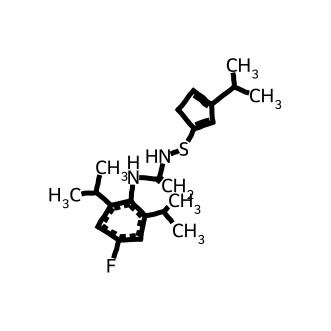 C=C(NSC1=CC(C(C)C)=CC1)Nc1c(C(C)C)cc(F)cc1C(C)C